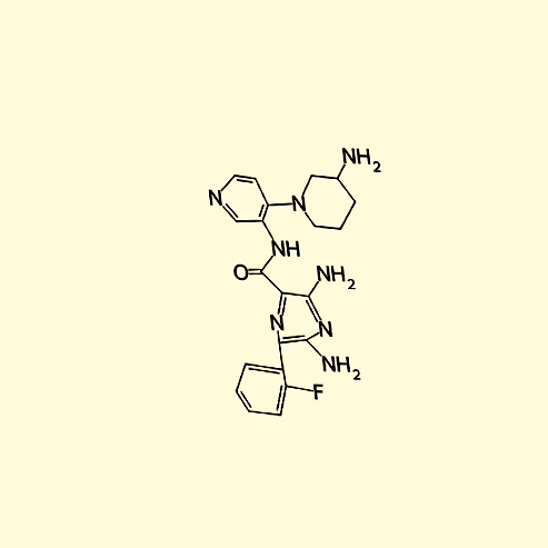 Nc1nc(N)c(-c2ccccc2F)nc1C(=O)Nc1cnccc1N1CCCC(N)C1